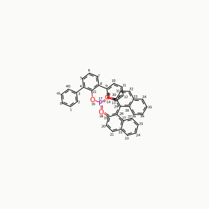 c1ccc(-c2cccc(-c3ccccc3)c2Op2oc3ccc4ccccc4c3c3c(ccc4ccccc43)o2)cc1